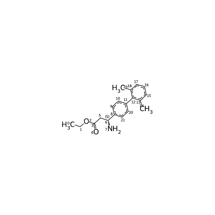 CCOC(=O)C[C@H](N)c1ccc(-c2c(C)cccc2C)cc1